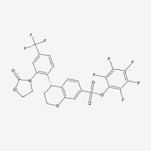 O=C1OCCN1c1cc(C(F)(F)F)ccc1[C@H]1CCOc2cc(S(=O)(=O)Oc3c(F)c(F)c(F)c(F)c3F)ccc21